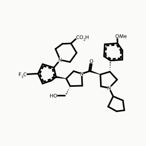 COc1ccc([C@@H]2CN(C3CCCC3)C[C@H]2C(=O)N2C[C@H](CO)[C@@H](c3ccc(C(F)(F)F)cc3N3CCC(C(=O)O)CC3)C2)cc1